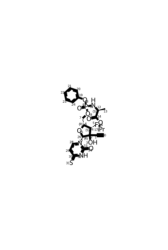 C#CC1(O)[C@@H](F)[C@@H](COP(=O)(N[C@@H](C)C(=O)OC(C)C)Oc2ccccc2)O[C@H]1n1ccc(=S)[nH]c1=O